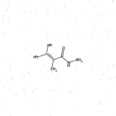 CCCC(CCC)=C(C)C(=O)NN